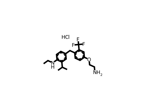 CCNc1ccc(Cc2ccc(OCCN)cc2C(F)(F)F)cc1C(C)C.Cl